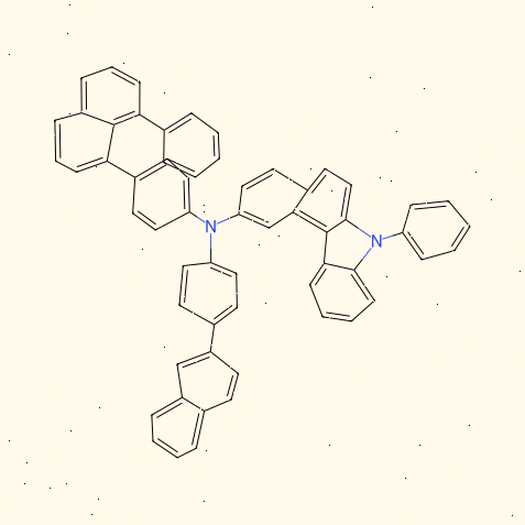 c1ccc(-c2cccc3cccc(-c4ccc(N(c5ccc(-c6ccc7ccccc7c6)cc5)c5ccc6ccc7c(c6c5)c5ccccc5n7-c5ccccc5)cc4)c23)cc1